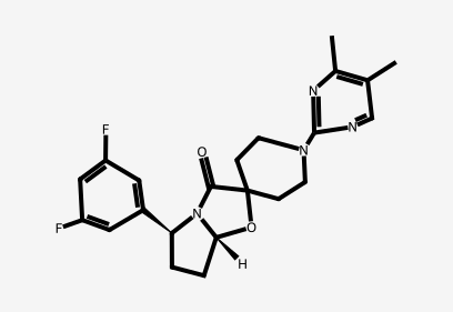 Cc1cnc(N2CCC3(CC2)O[C@@H]2CC[C@@H](c4cc(F)cc(F)c4)N2C3=O)nc1C